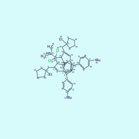 CCC1(CC2=Cc3c(-c4ccc(C(C)(C)C)cc4)cccc3[CH]2[Zr]([Cl])([Cl])([CH]2C(CC3(CC)CCCC3)=Cc3c(-c4ccc(C(C)(C)C)cc4)cccc32)[SiH](C)C)CCCC1